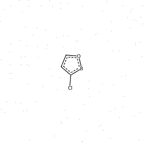 Clc1bocc1